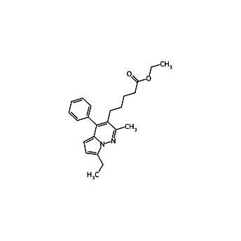 CCOC(=O)CCCCc1c(C)nn2c(CC)ccc2c1-c1ccccc1